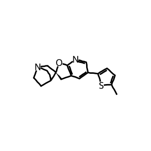 Cc1ccc(-c2cnc3c(c2)C[C@@]2(CN4CCC2CC4)O3)s1